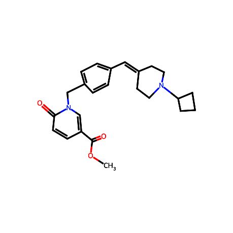 COC(=O)c1ccc(=O)n(Cc2ccc(C=C3CCN(C4CCC4)CC3)cc2)c1